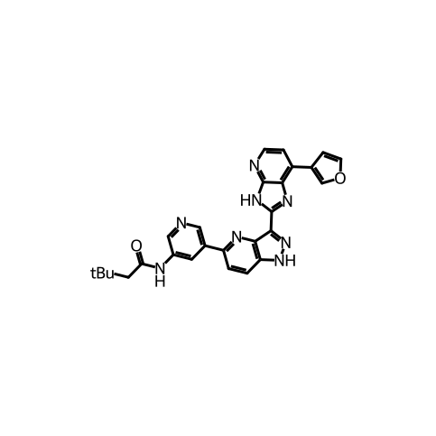 CC(C)(C)CC(=O)Nc1cncc(-c2ccc3[nH]nc(-c4nc5c(-c6ccoc6)ccnc5[nH]4)c3n2)c1